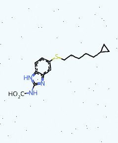 O=C(O)Nc1nc2cc(SCCCCCC3CC3)ccc2[nH]1